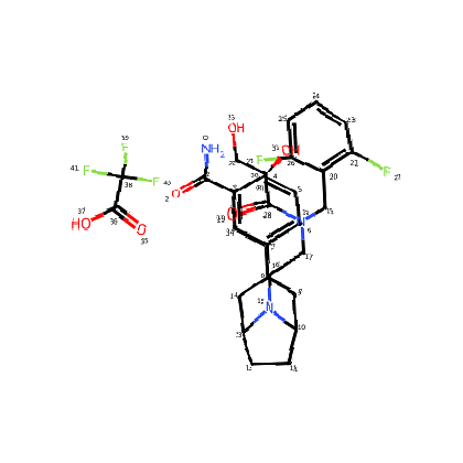 NC(=O)c1cccc(C2CC3CCC(C2)N3CCN(Cc2c(F)cccc2F)C(=O)[C@H](O)CO)c1.O=C(O)C(F)(F)F